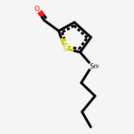 CCC[CH2][Sn][c]1ccc(C=O)s1